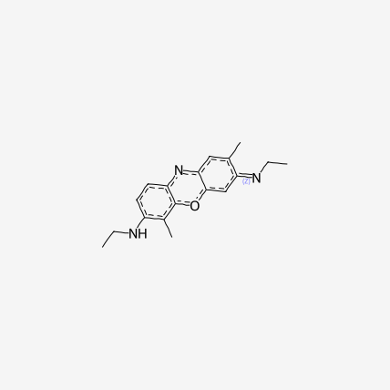 CC/N=c1/cc2oc3c(C)c(NCC)ccc3nc-2cc1C